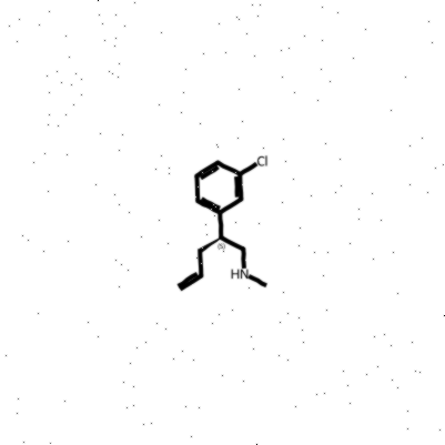 C=CC[C@H](CNC)c1cccc(Cl)c1